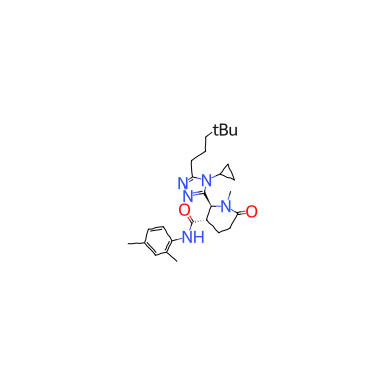 Cc1ccc(NC(=O)[C@H]2CCC(=O)N(C)[C@@H]2c2nnc(CCCC(C)(C)C)n2C2CC2)c(C)c1